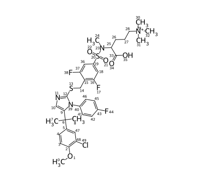 COc1ccc(C(C)(C)c2cnc(SCc3c(F)cc(S(=O)(=O)N(C)C(CCC[N+](C)(C)C)C(=O)O)cc3F)n2-c2ccc(F)cc2)cc1Cl